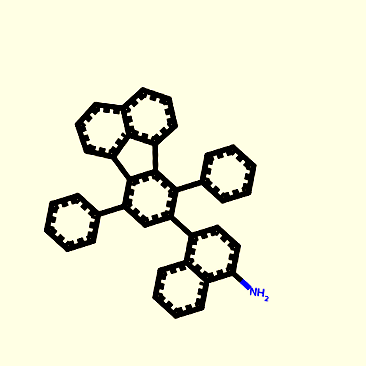 Nc1ccc(-c2cc(-c3ccccc3)c3c(c2-c2ccccc2)-c2cccc4cccc-3c24)c2ccccc12